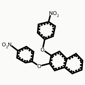 O=[N+]([O-])c1ccc(Oc2cc3ccccc3cc2Oc2ccc([N+](=O)[O-])cc2)cc1